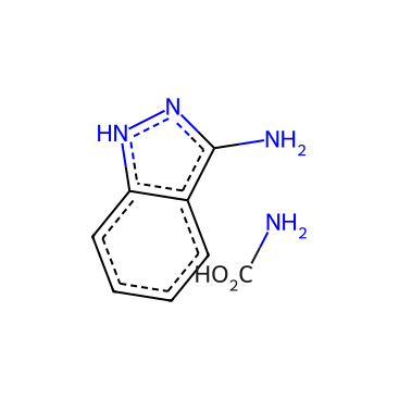 NC(=O)O.Nc1n[nH]c2ccccc12